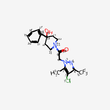 Cc1c(Cl)c(C(F)(F)F)nn1CC(=O)N1CCC(O)(c2ccccc2)CC1